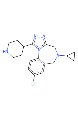 Clc1ccc2c(c1)CN(C1CC1)Cc1nnc(C3CCNCC3)n1-2